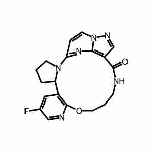 O=C1NCCCOc2ncc(F)cc2C2CCCN2c2ccn3ncc1c3n2